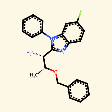 C[C@@H](OCc1ccccc1)[C@H](N)c1nc2ccc(F)cc2n1-c1ccccc1